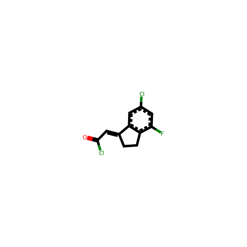 O=C(Cl)/C=C1\CCc2c(F)cc(Cl)cc21